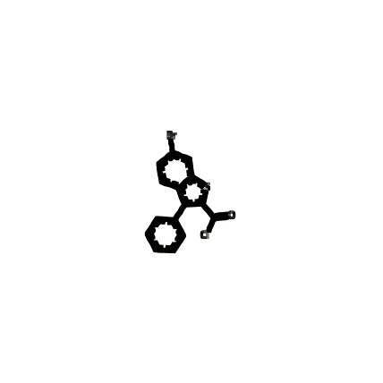 O=C(Cl)c1sc2cc(Br)ccc2c1-c1ccccc1